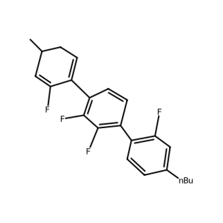 CCCCc1ccc(-c2ccc(C3=CCC(C)C=C3F)c(F)c2F)c(F)c1